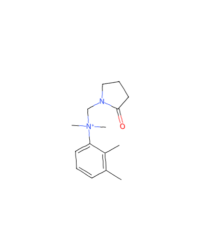 Cc1cccc([N+](C)(C)CN2CCCC2=O)c1C